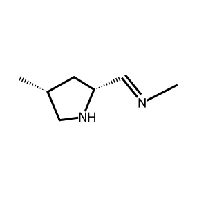 C/N=C/[C@H]1C[C@@H](C)CN1